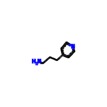 N[CH]CCc1ccncc1